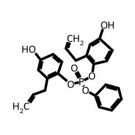 C=CCc1cc(O)ccc1OP(=O)(Oc1ccccc1)Oc1ccc(O)cc1CC=C